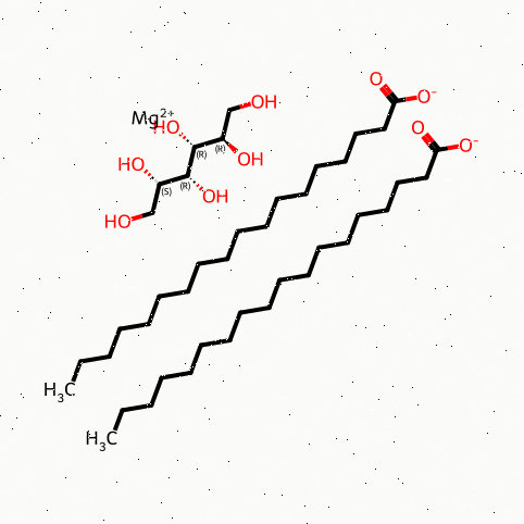 CCCCCCCCCCCCCCCCCC(=O)[O-].CCCCCCCCCCCCCCCCCC(=O)[O-].OC[C@@H](O)[C@@H](O)[C@H](O)[C@@H](O)CO.[Mg+2]